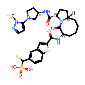 Cn1nccc1N1CC[C@@H](NC(=O)[C@@H]2CC[C@@H]3CCCC[C@H](NC(=O)c4cc5cc(C(F)P(=O)(O)O)ccc5s4)C(=O)N32)C1